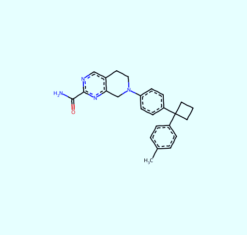 Cc1ccc(C2(c3ccc(N4CCc5cnc(C(N)=O)nc5C4)cc3)CCC2)cc1